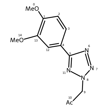 COc1ccc(-c2nnn(CC(C)=O)n2)cc1OC